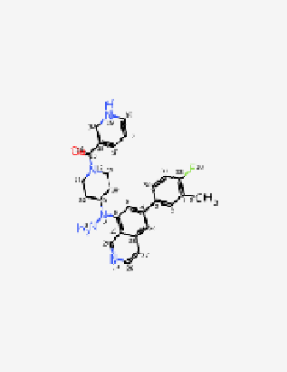 Cc1cc(-c2cc(N(N)C3CCN(C(=O)C4=CC=CNC4)CC3)c3cnccc3c2)ccc1F